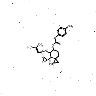 COC1C(OC(=O)Oc2ccc([N+](=O)[O-])cc2)CCC2(CO2)C1[C@@]1(C)O[C@@H]1CC=C(C)C